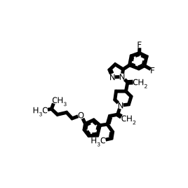 C=C(/C=C(\C=C/C)c1cccc(OCCCC(C)C)c1)N1CCC(C(=C)N2N=CCC2c2cc(F)cc(F)c2)CC1